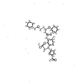 COC(=O)C(C)C(c1ccc(C)c(CN2CC(CCOCc3ccccc3)Oc3ccccc3S2)c1)c1ccc(C(C)=O)s1